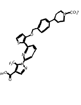 COC(=O)c1cnn(-c2cccc(-c3sccc3OCc3ccc(C4CCN(C(=O)O)CC4)cc3)n2)c1C(F)(F)F